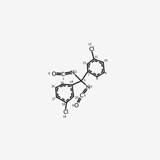 O=C=NC(N=C=O)(c1cccc(Cl)c1)c1cccc(Cl)c1